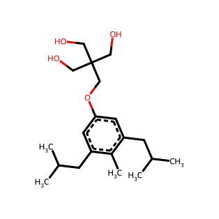 Cc1c(CC(C)C)cc(OCC(CO)(CO)CO)cc1CC(C)C